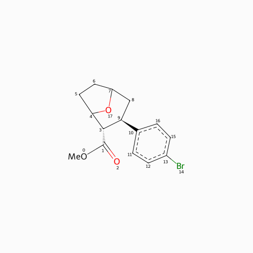 COC(=O)[C@@H]1C2CCC(C[C@H]1c1ccc(Br)cc1)O2